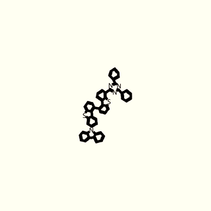 c1ccc(-c2nc(-c3ccccc3)nc(-c3cccc4c3sc3cccc(-c5cccc6sc7cc(-n8c9ccccc9c9ccccc98)ccc7c56)c34)n2)cc1